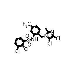 Cc1nc(Cl)c(Cl)n1Cc1ccc(C(F)(F)F)cc1NS(=O)(=O)c1cccc(Cl)c1Cl